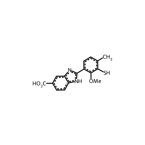 COc1c(-c2nc3cc(C(=O)O)ccc3[nH]2)ccc(C)c1S